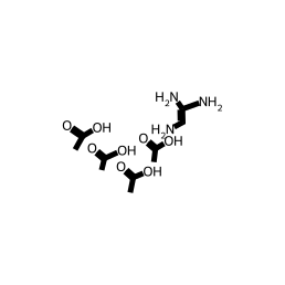 CC(=O)O.CC(=O)O.CC(=O)O.CC(=O)O.NC=C(N)N